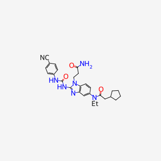 CCN(C(=O)CC1CCCC1)c1ccc2c(c1)nc(NC(=O)Nc1ccc(C#N)cc1)n2CCC(N)=O